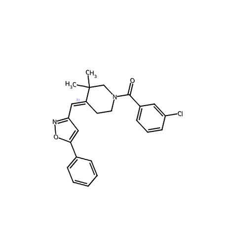 CC1(C)CN(C(=O)c2cccc(Cl)c2)CC/C1=C\c1cc(-c2ccccc2)on1